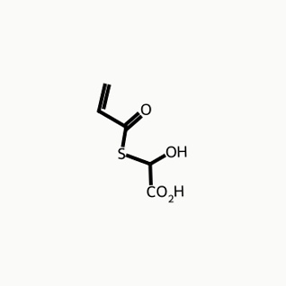 C=CC(=O)SC(O)C(=O)O